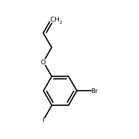 C=CCOc1cc(Br)cc(I)c1